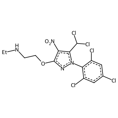 CCNCCOc1nn(-c2c(Cl)cc(Cl)cc2Cl)c(C(Cl)Cl)c1[N+](=O)[O-]